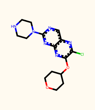 Clc1nc2cnc(N3CCNCC3)nc2nc1OC1CCOCC1